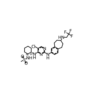 CS(=O)(=O)N[C@@H]1CCCC[C@H]1Nc1nc(Nc2ccc3c(c2)CCC(NCC(F)(F)F)CC3)ncc1Cl